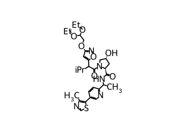 CCOC(COc1cc(C(C(=O)N2C[C@H](O)C[C@H]2C(=O)NC(C)c2ccc(-c3scnc3C)cn2)C(C)C)on1)OCC